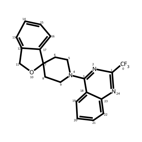 FC(F)(F)c1nc(N2CCC3(CC2)OCc2ccccc23)c2ccccc2n1